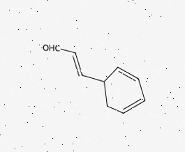 O=[C]C=CC1C=CC=CC1